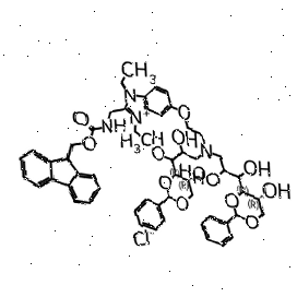 CCn1c(CNC(=O)OCC2c3ccccc3-c3ccccc32)[n+](CC)c2cc(OCCN(CC(O)C(O)[C@@H]3OC(c4ccccc4)OC[C@H]3O)CC(O)C(O)[C@@H]3OC(c4ccccc4)OC[C@H]3O)ccc21.[Cl-]